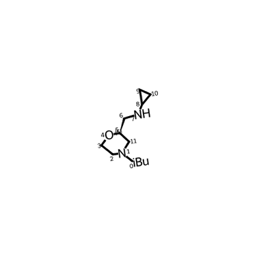 CCC(C)N1CCO[C@@H](CNC2CC2)C1